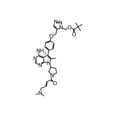 Cc1c(-c2ccc(OCc3cnnn3COC(=O)C(C)(C)C)cc2)c2c(N)ncnc2n1C1CCN(C(=O)C=CCN(C)C)C1